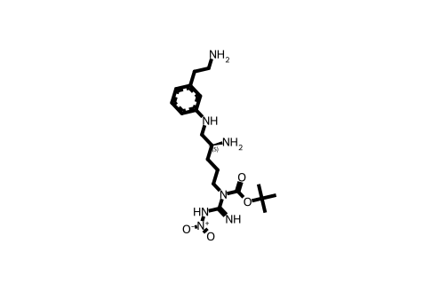 CC(C)(C)OC(=O)N(CCC[C@H](N)CNc1cccc(CCN)c1)C(=N)N[N+](=O)[O-]